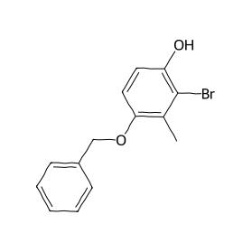 Cc1c(OCc2ccccc2)ccc(O)c1Br